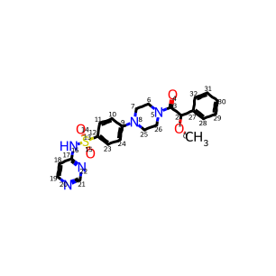 COC(C(=O)N1CCN(c2ccc(S(=O)(=O)Nc3ccncn3)cc2)CC1)c1ccccc1